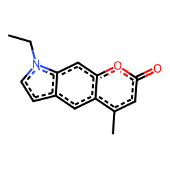 CCn1ccc2cc3c(C)cc(=O)oc3cc21